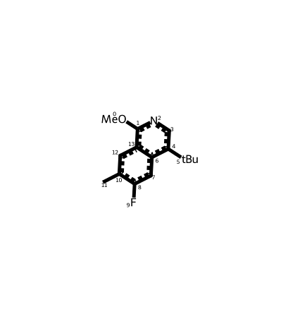 COc1ncc(C(C)(C)C)c2cc(F)c(C)cc12